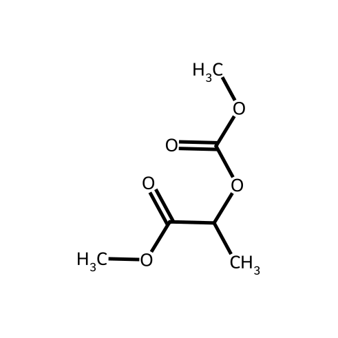 COC(=O)OC(C)C(=O)OC